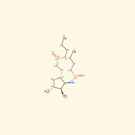 C[C@@H]1[C@H](N[PH](=O)OCCC#N)[C@@H](CO[PH](=O)OCCC#N)O[C@H]1C